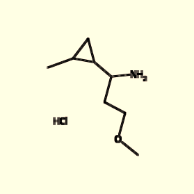 COCCC(N)C1CC1C.Cl